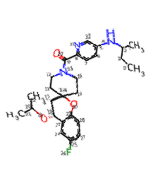 CC[C@H](C)Nc1ccc(C(=O)N2CCC3(CC2)C[C@@H](OC(C)C)c2cc(F)ccc2O3)nc1